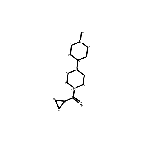 CN1CCC(N2CCN(C(=O)C3CC3)CC2)CC1